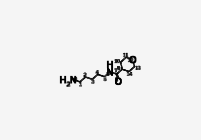 NCCCCCNC(=O)C1CCOCC1